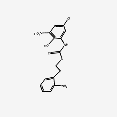 Nc1ccccc1CCOC(=O)Nc1cc(Cl)cc(S(=O)(=O)O)c1O